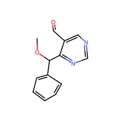 COC(c1ccccc1)c1ncncc1C=O